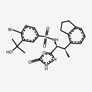 C[C@H](c1cccc2c1CCC2)[C@H](NS(=O)(=O)c1ccc(Br)c(C(C)(C)O)c1)c1n[nH]c(=O)o1